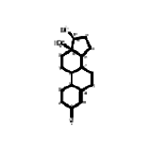 C[C@]12CCC3C4CCC(=O)C=C4CCC3C1CC[C@@H]2C#N